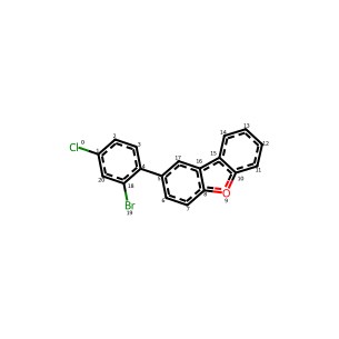 Clc1ccc(-c2ccc3oc4ccccc4c3c2)c(Br)c1